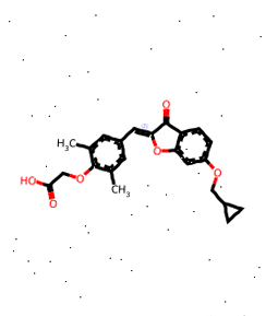 Cc1cc(/C=C2\Oc3cc(OCC4CC4)ccc3C2=O)cc(C)c1OCC(=O)O